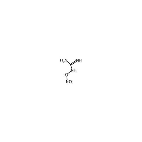 N=C(N)NON=O